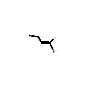 CCC(=[C]CF)CC